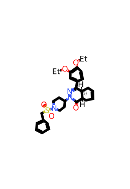 CCOc1ccc(C2=NN(C3CCN(S(=O)(=O)Cc4ccccc4)CC3)C(=O)[C@@H]3CC=CC[C@H]23)cc1OCC